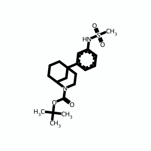 CC(C)(C)OC(=O)N1CCC2(c3cccc(NS(C)(=O)=O)c3)CCCC1C2